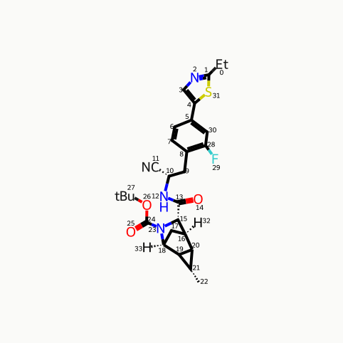 CCc1ncc(-c2ccc(C[C@@H](C#N)NC(=O)[C@@H]3[C@@H]4C[C@@H](C5C4[C@@H]5C)N3C(=O)OC(C)(C)C)c(F)c2)s1